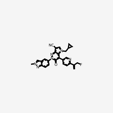 C=C(CF)c1ccc(-c2c(=O)n(-c3ccc4nn(C)cc4c3)nc3c(C#N)cn(CC4CC4)c23)cn1